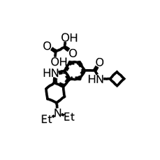 CCN(CC)C1CCc2[nH]c3ccc(C(=O)NC4CCC4)cc3c2C1.O=C(O)C(=O)O